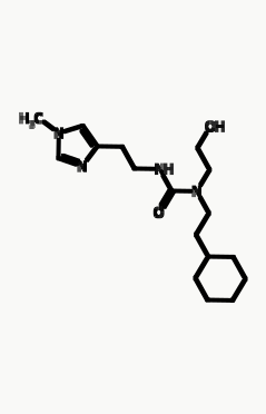 Cn1cnc(CCNC(=O)N(CCO)CCC2CCCCC2)c1